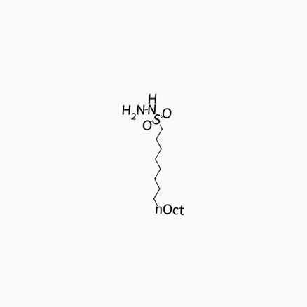 CCCCCCCCCCCCCCCCS(=O)(=O)NN